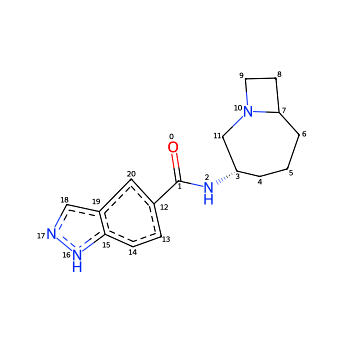 O=C(N[C@H]1CCCC2CCN2C1)c1ccc2[nH]ncc2c1